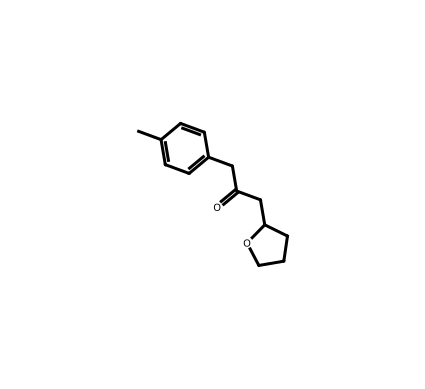 Cc1ccc(CC(=O)CC2CCCO2)cc1